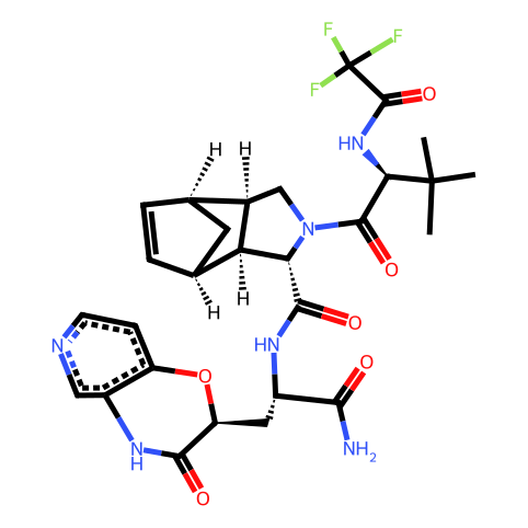 CC(C)(C)[C@H](NC(=O)C(F)(F)F)C(=O)N1C[C@H]2[C@@H]([C@H]1C(=O)N[C@@H](C[C@@H]1Oc3ccncc3NC1=O)C(N)=O)[C@H]1C=C[C@@H]2C1